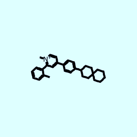 Cc1ccccc1-c1cc(-c2ccc(C3CCC4(CCCCC4)CC3)cc2)cc[n+]1C